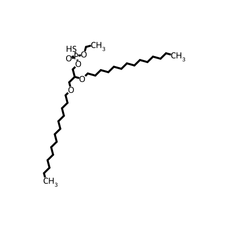 CCCCCCCCCCCCCCOCC(COP(=O)(S)OCC)OCCCCCCCCCCCCCC